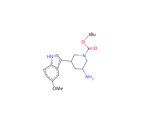 COc1ccc2[nH]cc(C3CC(N)CN(C(=O)OC(C)(C)C)C3)c2c1